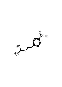 CC(O)NCCc1ccc([N+](=O)[O-])cc1